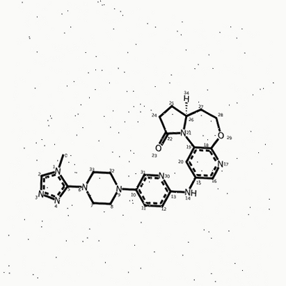 Cn1cnnc1N1CCN(c2ccc(Nc3cnc4c(c3)N3C(=O)CC[C@H]3CCO4)nc2)CC1